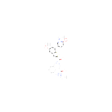 CNC(=O)CCN(CC1CCCCC1)C(=O)c1cc2cc(OC)cc(-c3ccc(=O)n(C)c3)c2s1